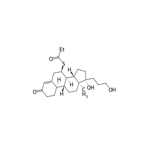 CCC(=O)S[C@@H]1CC2=CC(=O)CC[C@@H]2[C@H]2CC[C@@]3(C)[C@@H](CC[C@@]3(O)CCCO)[C@@H]21